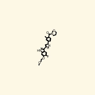 COCCOc1cc2[nH]nc(-c3cc(-c4ccc(C(=O)N5CCCOC5)c(C)c4)no3)c2cc1F